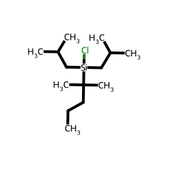 CCCC(C)(C)[Si](Cl)(CC(C)C)CC(C)C